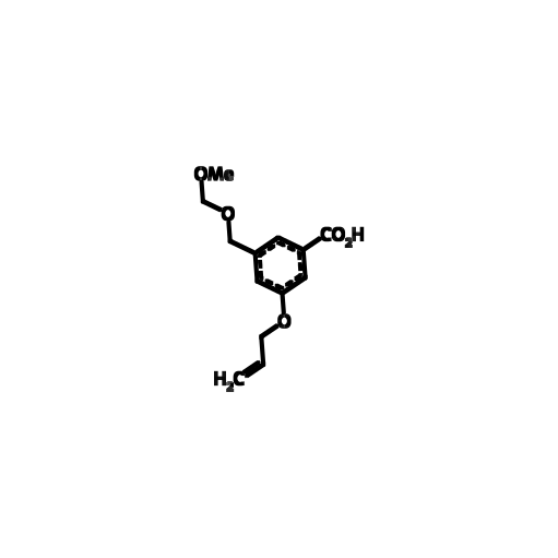 C=CCOc1cc(COCOC)cc(C(=O)O)c1